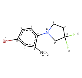 O=[N+]([O-])c1cc(Br)ccc1N1CCC(F)(F)C1